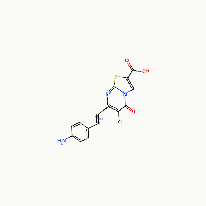 Nc1ccc(/C=C/c2nc3sc(C(=O)O)cn3c(=O)c2Cl)cc1